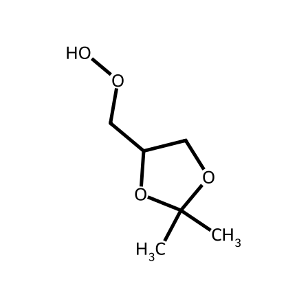 CC1(C)OCC(COO)O1